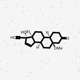 C#C[C@]1(O)C=CC2[C@@H]3CC[C@@]4(OC)CC(=O)CC[C@@H]4C3CC[C@@]21CC